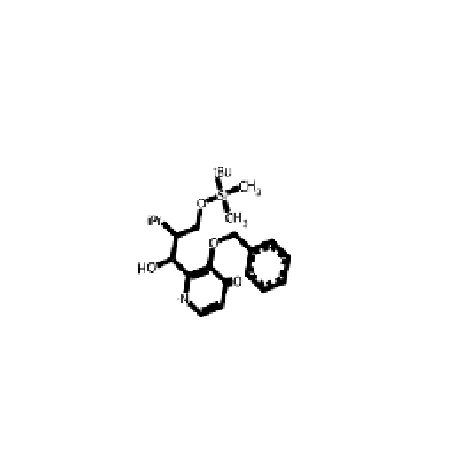 CC(C)C(CO[Si](C)(C)C(C)(C)C)C(O)C1=C(OCc2ccccc2)C(=O)C=C[N]1